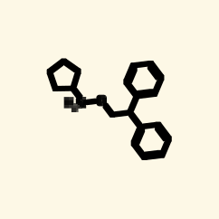 c1ccc(C(CO[SiH2]C2CCCC2)c2ccccc2)cc1